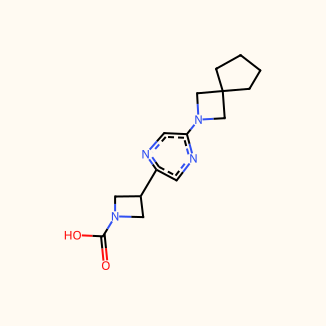 O=C(O)N1CC(c2cnc(N3CC4(CCCC4)C3)cn2)C1